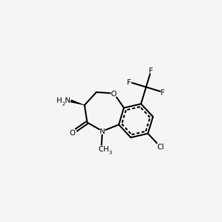 CN1C(=O)[C@@H](N)COc2c1cc(Cl)cc2C(F)(F)F